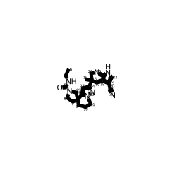 CCNC(=O)N1CCC2(CCCn3nc(C4(C)C=c5c(C#N)c[nH]c5=NC4)cc32)C1